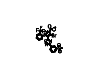 COC(=O)c1nn(-c2ccccc2C(F)(F)F)c(-c2nc(-c3cccc(S(C)(=O)=O)c3)ns2)c1Br